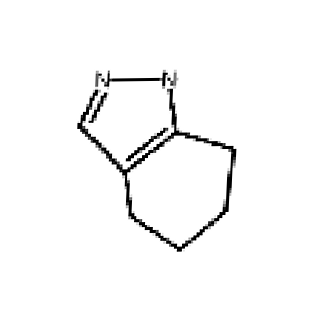 C1=N[N]C2=C1CCCC2